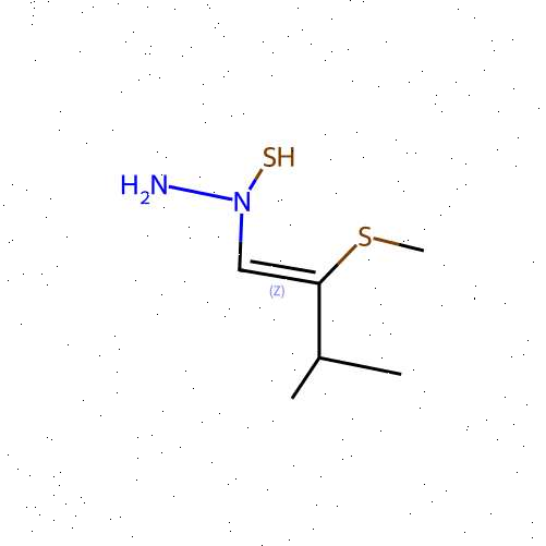 CS/C(=C\N(N)S)C(C)C